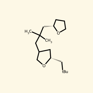 CC(C)(C)C[C@H]1CC(CC(C)(C)C[C@@H]2CCCO2)CO1